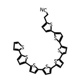 N#CCCc1ccc(-c2ccc(-c3ccc(-c4ccc(-c5ccc(-c6ccc(-c7ccc(-c8cccs8)s7)s6)s5)s4)s3)s2)s1